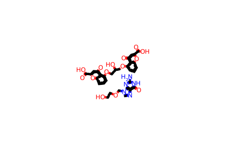 Nc1nc2c(ncn2COCCO)c(=O)[nH]1.O=C(O)c1cc(=O)c2c(OCC(O)COc3cccc4oc(C(=O)O)cc(=O)c34)cccc2o1